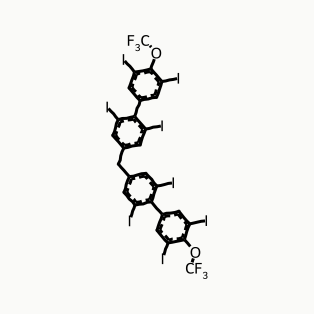 FC(F)(F)Oc1c(I)cc(-c2c(I)cc(Cc3cc(I)c(-c4cc(I)c(OC(F)(F)F)c(I)c4)c(I)c3)cc2I)cc1I